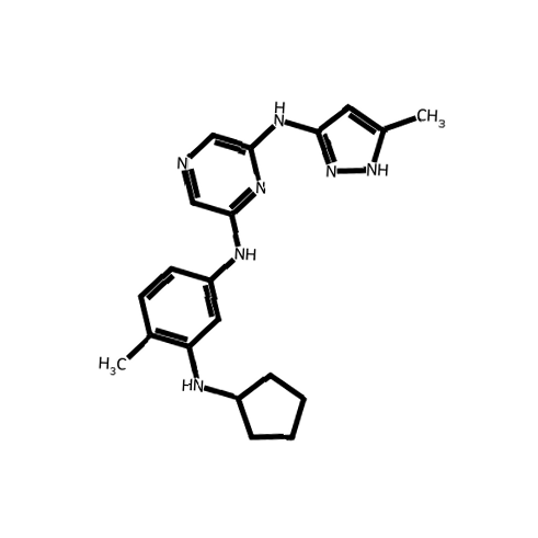 Cc1cc(Nc2cncc(Nc3ccc(C)c(NC4CCCC4)c3)n2)n[nH]1